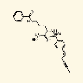 CC#CCOc1ccc(S(=O)(=O)NC(CCCNC(=O)c2ccccc2)C(=O)NO)cc1